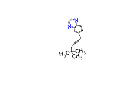 CC(C)(C)CC#CCc1ccc2nccnc2c1